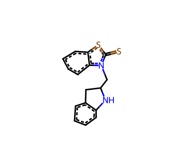 S=c1sc2ccccc2n1CC1Cc2ccccc2N1